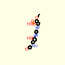 CCCOc1cc(S(=O)(=O)O)c2cc(N=Nc3ccc(N=Nc4ccc5cc(Nc6ccc(OC)cc6)ccc5c4O)cc3)ccc2c1